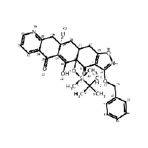 CC(C)(C)[Si](C)(C)OC12C(=O)c3c(OCc4ccccc4)noc3CC1C[C@@H]1Cc3ncccc3C(=O)C1=C2O